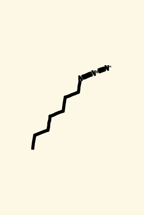 CCCCCCCN=[N+]=[N-]